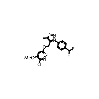 COc1cc(OCc2c(C)nnn2-c2ccc(C(F)F)cc2)nnc1Cl